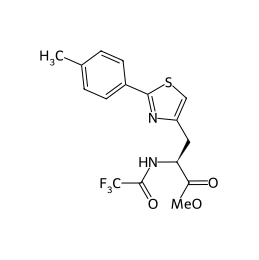 COC(=O)[C@H](Cc1csc(-c2ccc(C)cc2)n1)NC(=O)C(F)(F)F